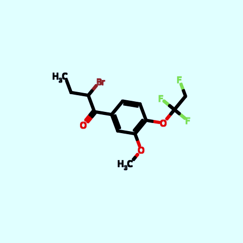 CCC(Br)C(=O)c1ccc(OC(F)(F)CF)c(OC)c1